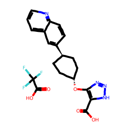 O=C(O)C(F)(F)F.O=C(O)c1[nH]nnc1O[C@H]1CC[C@H](c2ccc3ncccc3c2)CC1